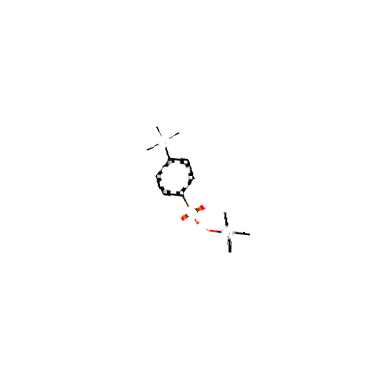 C[Si](C)(C)OS(=O)(=O)c1ccc([Si](C)(C)C)cc1